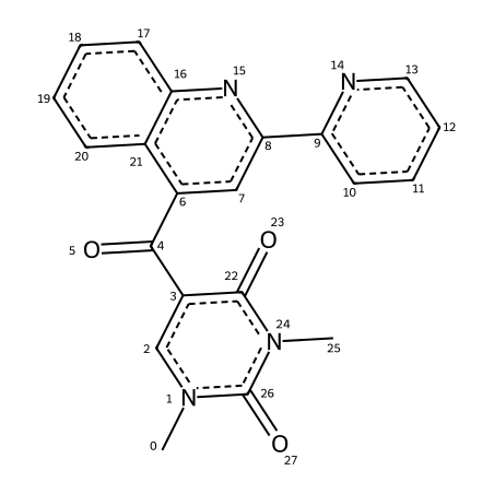 Cn1cc(C(=O)c2cc(-c3ccccn3)nc3ccccc23)c(=O)n(C)c1=O